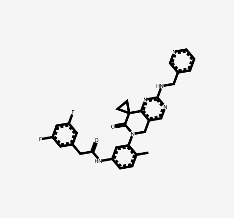 Cc1ccc(NC(=O)Cc2cc(F)cc(F)c2)cc1N1Cc2cnc(NCc3cccnc3)nc2C2(CC2)C1=O